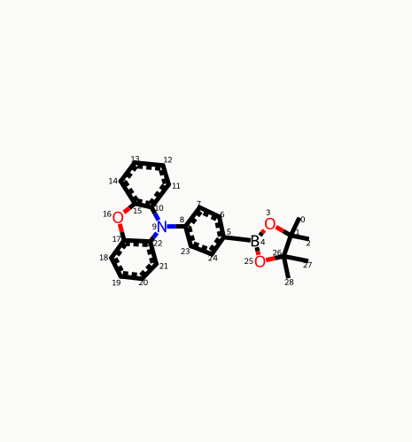 CC1(C)OB(c2ccc(N3c4ccccc4Oc4ccccc43)cc2)OC1(C)C